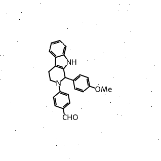 COc1ccc(C2c3[nH]c4ccccc4c3CCN2c2ccc(C=O)cc2)cc1